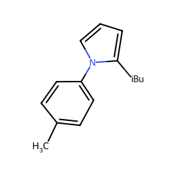 CCC(C)c1cccn1-c1ccc(C)cc1